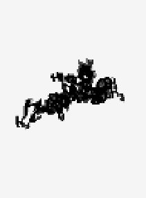 CCCN1C(=O)c2ccc(Nc3ncc(-c4nc(C(C)(C)O)no4)c(N[C@H](CO)c4ccccc4)n3)nc2C1(C)C